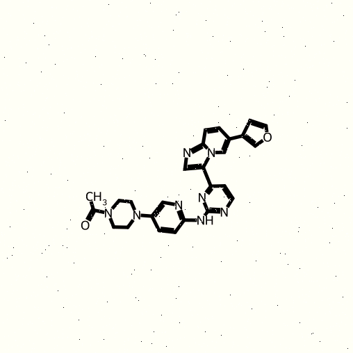 CC(=O)N1CCN(c2ccc(Nc3nccc(-c4cnc5ccc(-c6ccoc6)cn45)n3)nc2)CC1